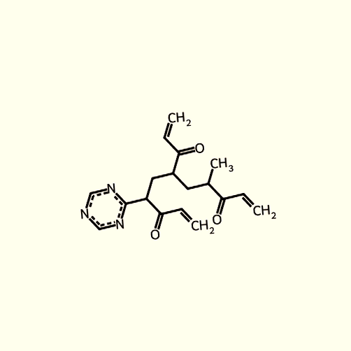 C=CC(=O)C(C)CC(CC(C(=O)C=C)c1ncncn1)C(=O)C=C